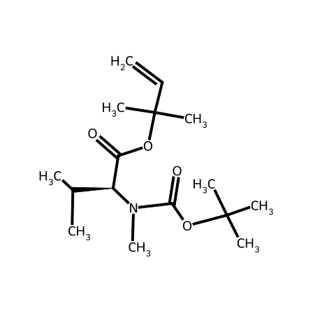 C=CC(C)(C)OC(=O)[C@H](C(C)C)N(C)C(=O)OC(C)(C)C